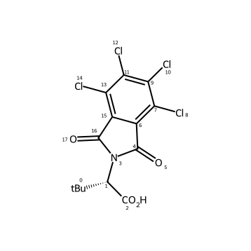 CC(C)(C)[C@@H](C(=O)O)N1C(=O)c2c(Cl)c(Cl)c(Cl)c(Cl)c2C1=O